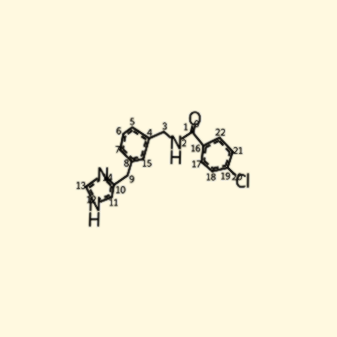 O=C(NCc1cccc(Cc2c[nH]cn2)c1)c1ccc(Cl)cc1